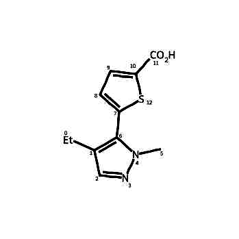 CCc1cnn(C)c1-c1ccc(C(=O)O)s1